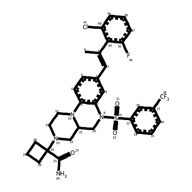 C/C(=C\c1ccc2c(c1)N(S(=O)(=O)c1cccc(C(F)(F)F)c1)CC1CN(C3(C(N)=O)CCC3)CCN21)c1c(F)cccc1Cl